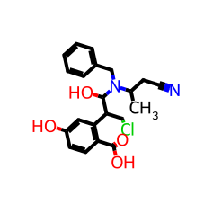 CC(CC#N)N(Cc1ccccc1)C(O)C(CCl)c1cc(O)ccc1C(=O)O